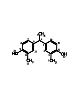 Cc1cc(C(C)c2ccc(O)c(C)c2)ccc1O